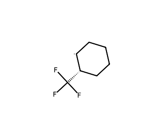 FC(F)(F)[C@@H]1[CH]CCCC1